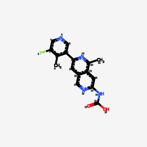 Cc1c(F)cncc1-c1cc2cnc(NC(=O)O)cc2c(C)n1